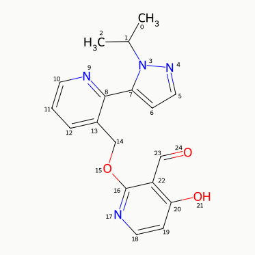 CC(C)n1nccc1-c1ncccc1COc1nccc(O)c1C=O